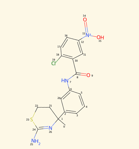 CC1(c2cccc(NC(=O)c3cc([N+](=O)O)ccc3Cl)c2)CCSC(N)=N1